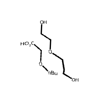 CCCCOCC(=O)O.OCCOCCO